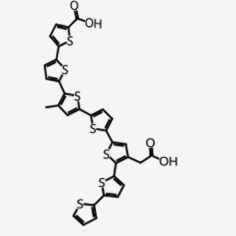 Cc1cc(-c2ccc(-c3cc(CC(=O)O)c(-c4ccc(-c5cccs5)s4)s3)s2)sc1-c1ccc(-c2ccc(C(=O)O)s2)s1